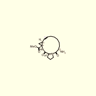 COC(=O)[C@@]12C[C@H]1/C=C\CCCCC[C@H](N)C(=O)N1CCC[C@H]1C(=O)N2